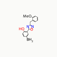 Bc1ccc(O)c(-c2nc(Cc3ccccc3OC)no2)c1